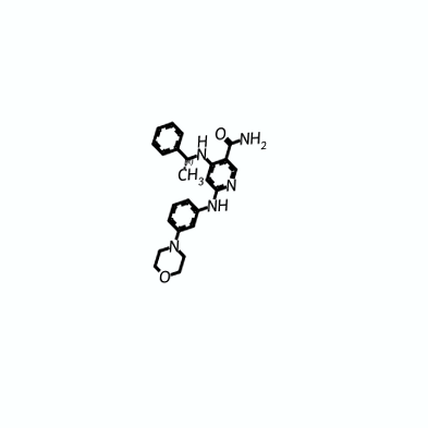 C[C@@H](Nc1cc(Nc2cccc(N3CCOCC3)c2)ncc1C(N)=O)c1ccccc1